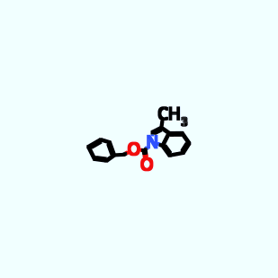 Cc1cn(C(=O)OCc2ccccc2)c2ccccc12